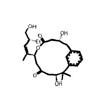 CC[C@H](/C=C(/C)[C@@H]1CC(=O)C[C@H](O)C(C)(C)c2cccc(c2)C[C@@H](O)CC(=O)O1)CO